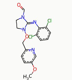 COc1ccc(CON2CCN(C=O)/C2=N/c2c(Cl)cccc2Cl)nc1